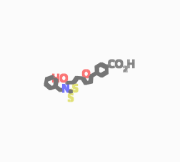 O=C(O)c1ccc(-c2ccc(/C=C3\SC(=S)N(Cc4ccccc4)C3O)o2)cc1